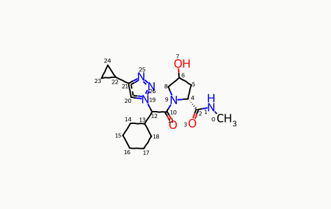 CNC(=O)[C@H]1CC(O)CN1C(=O)C(C1CCCCC1)n1cc(C2CC2)nn1